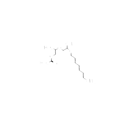 CCCCCCCCOC(C)COC(C)COC(C)=O